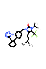 CC(C)CCc1c(C(F)(F)F)n(C(C)C)c(=O)n1Cc1ccc(-c2ccccc2-c2nnn[nH]2)cc1